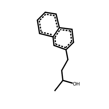 CC(O)CCc1ccc2ccccc2c1